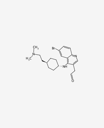 CN(C)CC[C@H]1CC[C@H](Nc2c(CC=O)cnc3ccc(Br)cc23)CC1